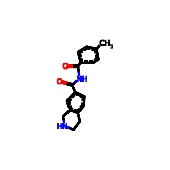 Cc1ccc(C(=O)NC(=O)c2ccc3c(c2)CNCC3)cc1